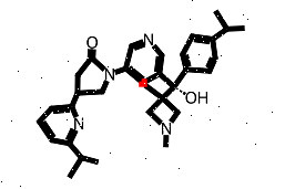 CC(C)c1ccc([C@](O)(c2cncc(N3CC(c4cccc(C(C)C)n4)CC3=O)c2)C2(C)CN(C)C2)cc1